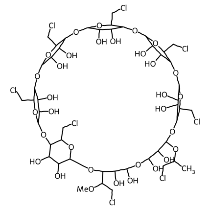 COC(CCl)C1OC2OC(CCl)C(OC3OC(CCl)C(OC4OC(CCl)C(OC5OC(CCl)C(OC6OC(CCl)C(OC7OC(CCl)C(OC(OC(C)CCl)C(O)C(O)OC(O)C1O)C(O)C7O)C(O)C6O)C(O)C5O)C(O)C4O)C(O)C3O)C(O)C2O